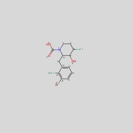 O=C(O)N1CCC(F)C(O)C1Cc1cccc(Br)c1F